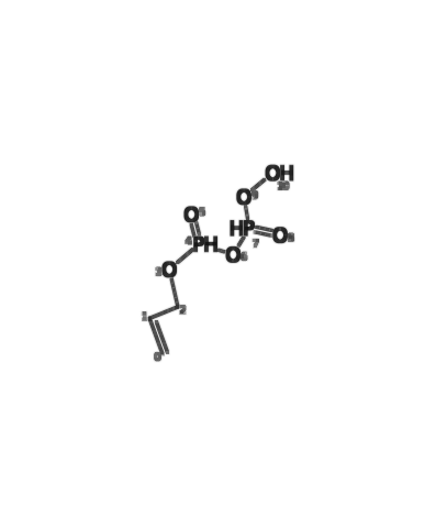 C=CCO[PH](=O)O[PH](=O)OO